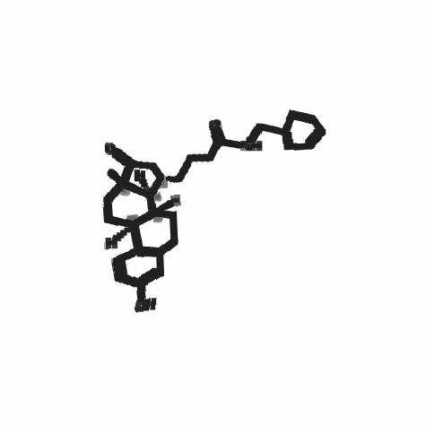 C[C@]12CC[C@@H]3c4ccc(O)cc4CC[C@H]3[C@@H]1[C@@H](CCCC(=O)NCc1ccccc1)CC2=O